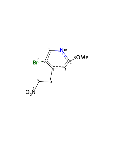 COc1cc(CC[N+](=O)[O-])c(Br)cn1